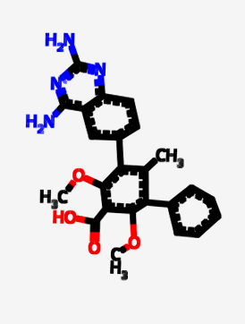 COc1c(C(=O)O)c(OC)c(-c2ccc3nc(N)nc(N)c3c2)c(C)c1-c1ccccc1